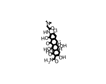 C[C@H]1c2cc(Cl)c(NC(=O)CN(C)C)c(O)c2C(=O)C2=C(O)[C@]3(O)C(=O)C(C(N)=O)=C(O)C[C@@H]3[C@@H](O)[C@@H]21